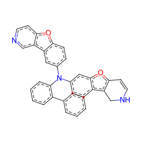 C1=Cc2oc3cc(N(c4ccc5oc6ccncc6c5c4)c4ccccc4-c4ccccc4)ccc3c2CN1